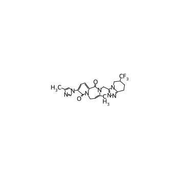 CC1=CCn2c(ccc(-n3cnc(C)c3)c2=O)C(=O)N1Cc1nnc2n1CC(C(F)(F)F)CC2